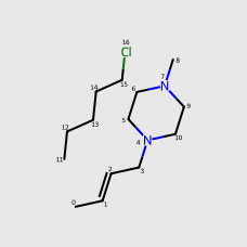 C/C=C/CN1CCN(C)CC1.CCCCCCl